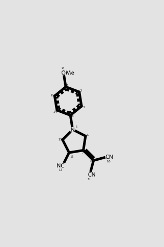 COc1ccc(N2CC(=C(C#N)C#N)C(C#N)C2)cc1